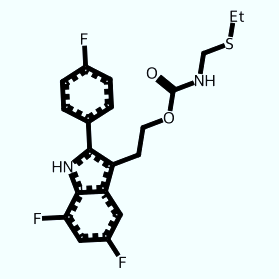 CCSCNC(=O)OCCc1c(-c2ccc(F)cc2)[nH]c2c(F)cc(F)cc12